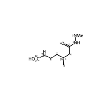 CNNC(=O)C[C@@H](C)CCNC(=O)O